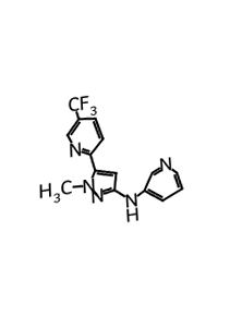 Cn1nc(Nc2cccnc2)cc1-c1ccc(C(F)(F)F)cn1